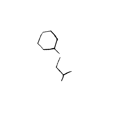 CC([O])COC1CCCCC1